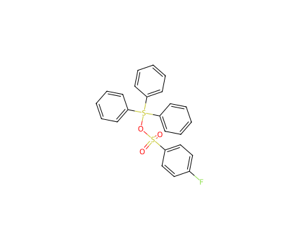 O=S(=O)(OS(c1ccccc1)(c1ccccc1)c1ccccc1)c1ccc(F)cc1